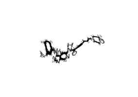 O=C(C#CCCCN1CCOCC1)Nc1cc2c(Nc3cccc(Br)c3)ncnc2cn1